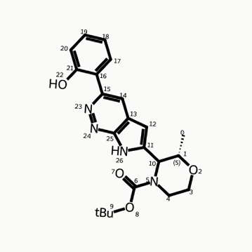 C[C@@H]1OCCN(C(=O)OC(C)(C)C)C1c1cc2cc(-c3ccccc3O)nnc2[nH]1